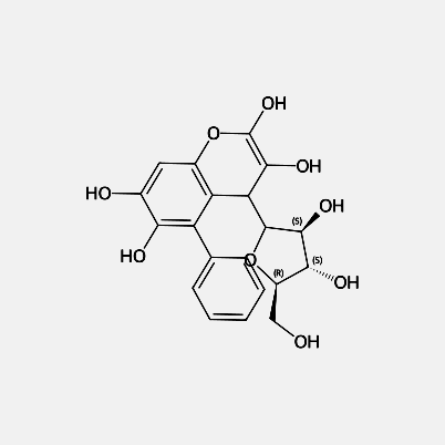 OC[C@H]1OC(C2C(O)=C(O)Oc3cc(O)c(O)c(-c4ccccc4)c32)[C@@H](O)[C@@H]1O